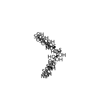 O=S(O)(O)=S.O=S(O)(O)=S.O=S(O)(O)=S.O=S(O)(O)=S.O=S(O)(O)=S.OC(O)=S.OC(O)=S.OC(O)=S.[Na+].[Na+].[O-]C([O-])=S